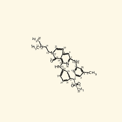 Cc1ccnc(Nc2cc3ccn(CCN(C)C)c(=O)c3c(Nc3cccc(CS(C)(=O)=O)c3)n2)c1